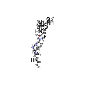 C=C/C=C(\C=C(\F)C(=C)c1cnc(C2[C@H]3CC[C@H](C3)N2C(=O)CNC(=O)CC)[nH]1)C(/C=C(/C=C\C/N=C(/CCNC(=C)CC)NC)C(C)C)CC